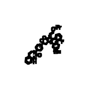 CC(C)OCCN1C(=O)[C@H](CC(=O)N2CCC(N3CCc4ccccc4NC3=O)CC2)SC1c1cccc(F)c1N1CCN(C(C)(C)C)CC1